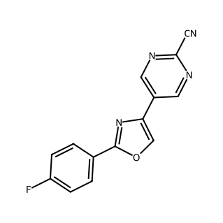 N#Cc1ncc(-c2coc(-c3ccc(F)cc3)n2)cn1